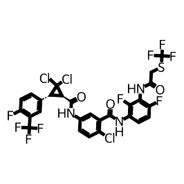 O=C(CSC(F)(F)F)Nc1c(F)ccc(NC(=O)c2cc(NC(=O)[C@H]3[C@H](c4ccc(F)c(C(F)(F)F)c4)C3(Cl)Cl)ccc2Cl)c1F